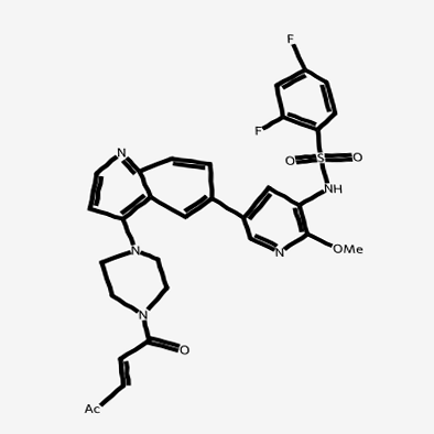 COc1ncc(-c2ccc3nccc(N4CCN(C(=O)/C=C/C(C)=O)CC4)c3c2)cc1NS(=O)(=O)c1ccc(F)cc1F